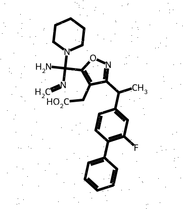 C=NC(N)(c1onc(C(C)c2ccc(-c3ccccc3)c(F)c2)c1CC(=O)O)N1CCCCC1